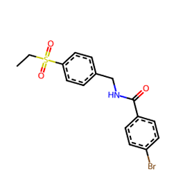 CCS(=O)(=O)c1ccc(CNC(=O)c2ccc(Br)cc2)cc1